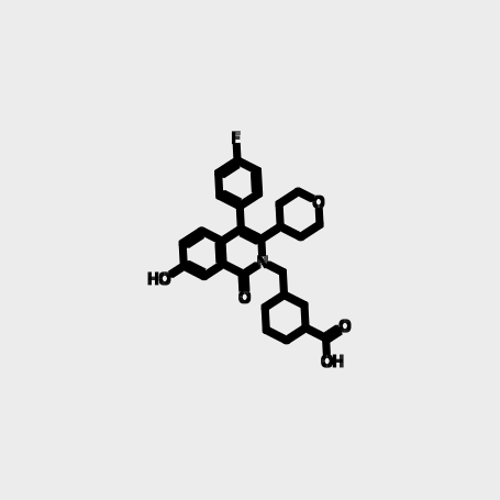 O=C(O)C1CCCC(Cn2c(C3CCOCC3)c(-c3ccc(F)cc3)c3ccc(O)cc3c2=O)C1